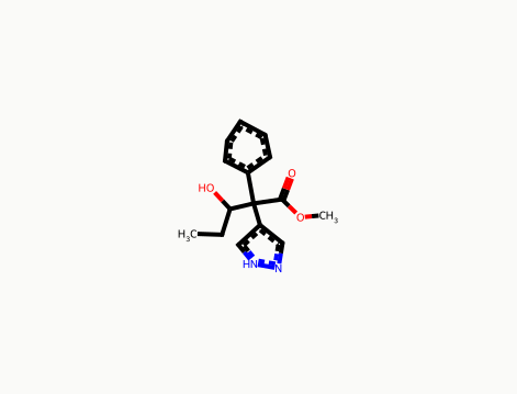 CCC(O)C(C(=O)OC)(c1ccccc1)c1cn[nH]c1